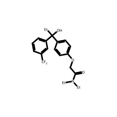 CCN(CC)C(=O)COc1ccc(C(O)(CC)c2cccc(C(F)(F)F)c2)cc1